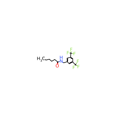 CCCCCC(=O)NCc1cc(C(F)(F)F)cc(C(F)(F)F)c1